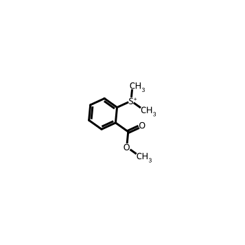 COC(=O)c1ccccc1[S+](C)C